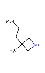 CNCCC1(C)CNC1